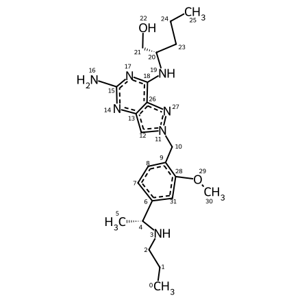 CCCN[C@H](C)c1ccc(Cn2cc3nc(N)nc(N[C@H](CO)CCC)c3n2)c(OC)c1